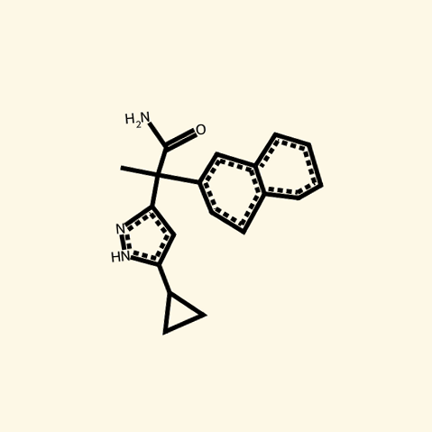 CC(C(N)=O)(c1ccc2ccccc2c1)c1cc(C2CC2)[nH]n1